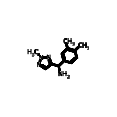 Cc1ccc(C(N)c2cnn(C)n2)cc1C